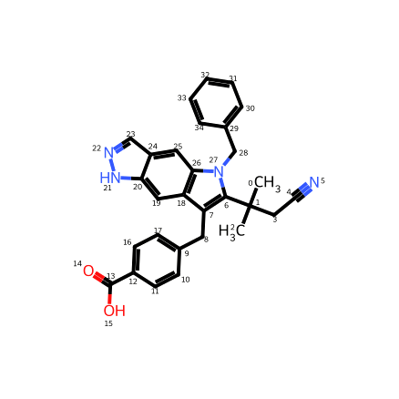 CC(C)(CC#N)c1c(Cc2ccc(C(=O)O)cc2)c2cc3[nH]ncc3cc2n1Cc1ccccc1